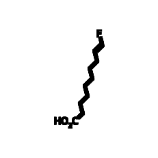 O=C(O)CCCCCCC/C=C/F